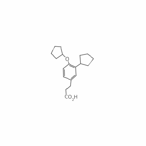 O=C(O)CCc1ccc(OC2CCCC2)c(C2CCCC2)c1